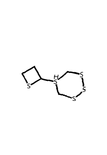 C1CC([SH]2CSSSC2)S1